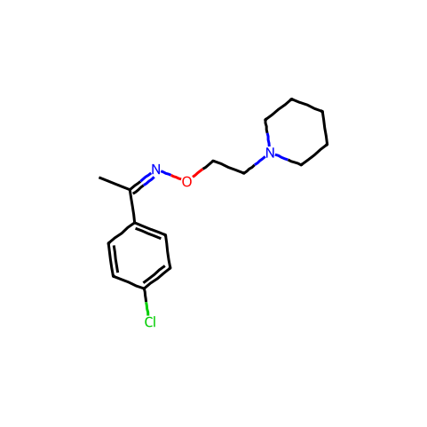 CC(=NOCCN1CCCCC1)c1ccc(Cl)cc1